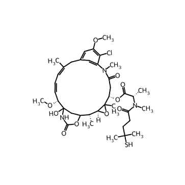 COc1cc2cc(c1Cl)N(C)C(=O)C[C@H](OC(=O)[C@H](C)N(C)C(=O)CCC(C)(C)S)C1(C)O[C@H]1[C@H](C)C1CC(O)(NC(=O)O1)[C@H](OC)/C=C\C=C(\C)C2